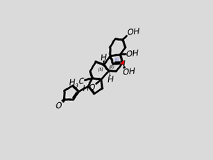 CC12CC[C@H]3[C@@H](CCC4(O)CC(O)CCC34/C=N/O)C1(O)CCC2C1=CC(=O)CC1